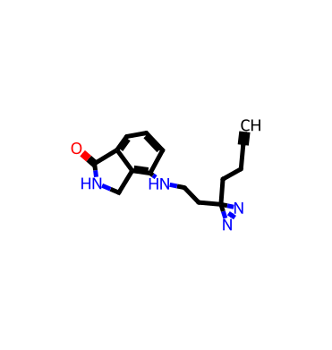 C#CCCC1(CCNc2cccc3c2CNC3=O)N=N1